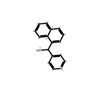 OC(c1ccncc1)c1cccc2ccccc12